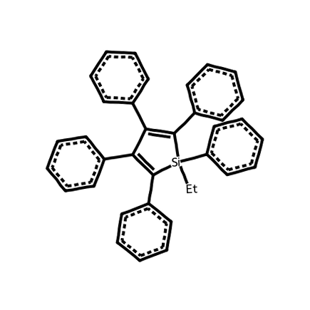 CC[Si]1(c2ccccc2)C(c2ccccc2)=C(c2ccccc2)C(c2ccccc2)=C1c1ccccc1